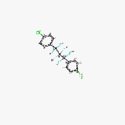 FC(F)(c1ccc(Cl)cc1)C(F)(F)C(F)(F)c1ccc(Cl)cc1